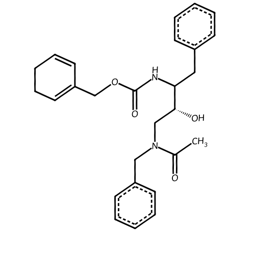 CC(=O)N(Cc1ccccc1)C[C@@H](O)C(Cc1ccccc1)NC(=O)OCC1=CCCC=C1